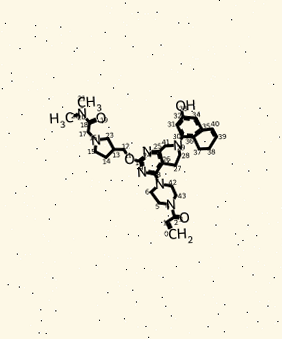 C=CC(=O)N1CCN(c2nc(OCC3CCN(CC(=O)N(C)C)C3)nc3c2CCN(c2cc(O)cc4c2CCC=C4)C3)CC1